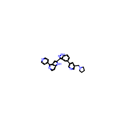 c1cc(-c2nccc3[nH]c(-c4n[nH]c5ccc(-c6cncc(CN7CCCC7)c6)cc45)cc23)ccn1